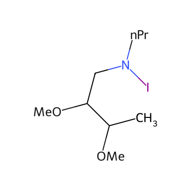 CCCN(I)CC(OC)C(C)OC